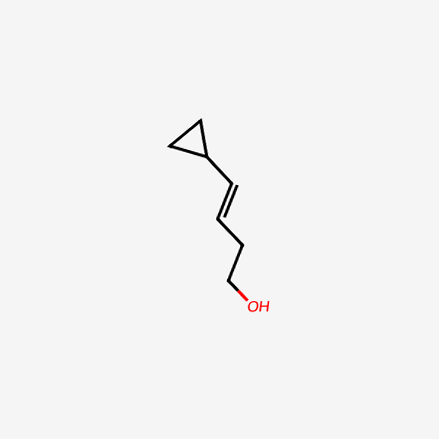 OCCC=CC1CC1